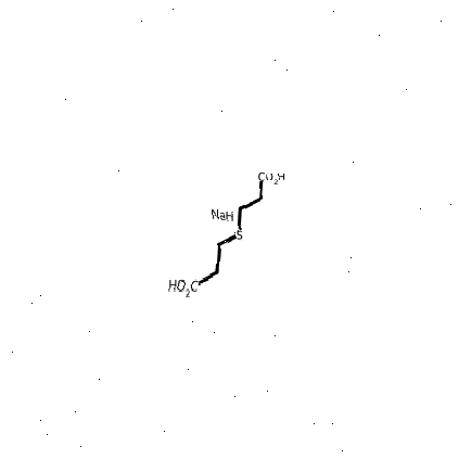 O=C(O)CCSCCC(=O)O.[NaH]